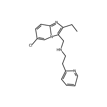 CCc1nc2ccc(Cl)cn2c1CNCCc1ccccn1